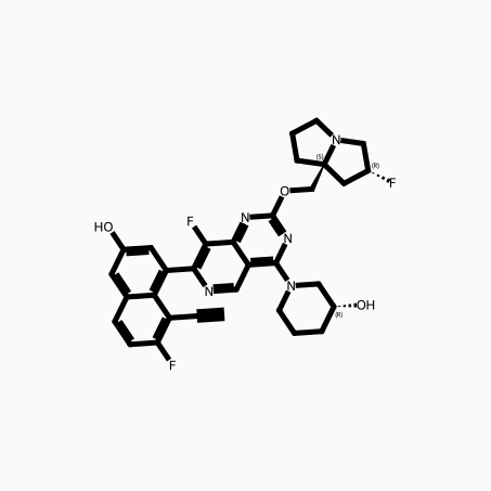 C#Cc1c(F)ccc2cc(O)cc(-c3ncc4c(N5CCC[C@@H](O)C5)nc(OC[C@@]56CCCN5C[C@H](F)C6)nc4c3F)c12